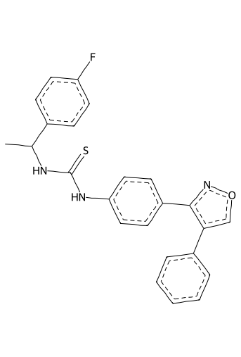 CC(NC(=S)Nc1ccc(-c2nocc2-c2ccccc2)cc1)c1ccc(F)cc1